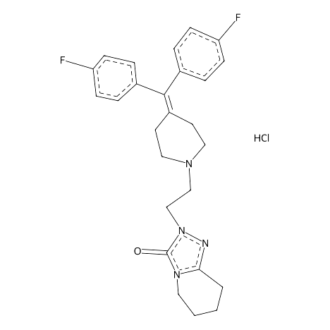 Cl.O=c1n(CCN2CCC(=C(c3ccc(F)cc3)c3ccc(F)cc3)CC2)nc2n1CCCC2